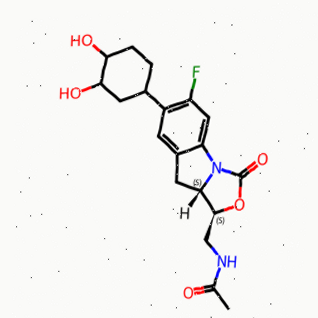 CC(=O)NC[C@@H]1OC(=O)N2c3cc(F)c(C4CCC(O)C(O)C4)cc3C[C@@H]12